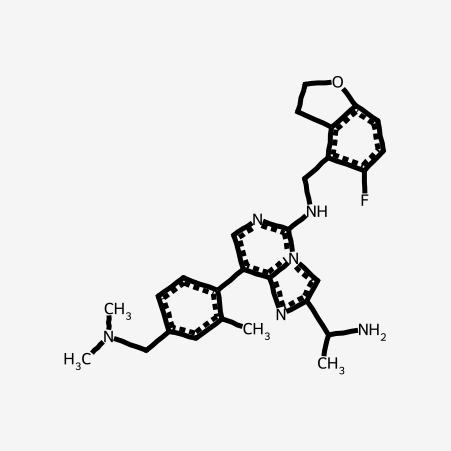 Cc1cc(CN(C)C)ccc1-c1cnc(NCc2c(F)ccc3c2CCO3)n2cc(C(C)N)nc12